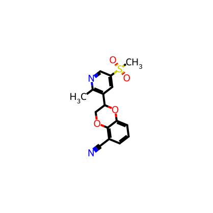 Cc1ncc(S(C)(=O)=O)cc1C1COc2c(C#N)cccc2O1